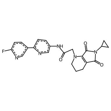 O=C(CN1CCCC2=C1C(=O)N(C1CC1)C2=O)Nc1ccc(-c2ccc(F)nc2)nc1